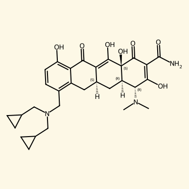 CN(C)[C@H]1C(O)=C(C(N)=O)C(=O)[C@@]2(O)C(O)=C3C(=O)c4c(O)ccc(CN(CC5CC5)CC5CC5)c4C[C@@H]3C[C@H]12